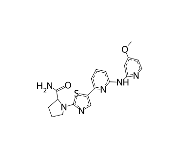 COc1ccnc(Nc2cccc(-c3cnc(N4CCCC4C(N)=O)s3)n2)c1